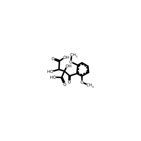 COc1cccc(OC)c1C(=O)C(O)(C(=O)O)C(O)C(=O)O